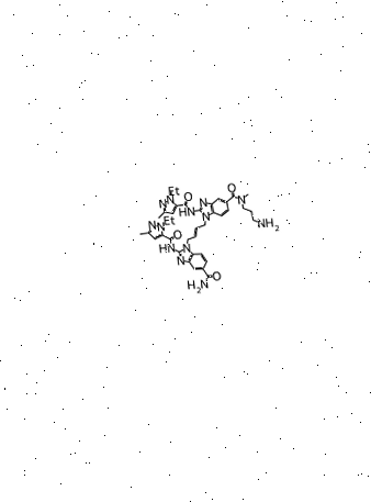 CCn1nc(C)cc1C(=O)Nc1nc2cc(C(N)=O)ccc2n1C/C=C/Cn1c(NC(=O)c2cc(C)nn2CC)nc2cc(C(=O)N(C)CCCN)ccc21